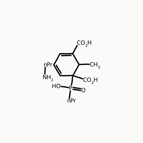 CCCN.CCCP(=O)(O)C1(C(=O)O)C=CC=C(C(=O)O)C1C